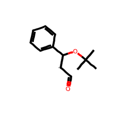 CC(C)(C)OC([CH]C=O)c1ccccc1